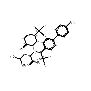 Cc1ccc(-c2ccc([C@H](N([C@@H](CC(C)C)C(N)=O)[C@H]3CC(C(F)(F)F)NCC3=O)C(F)(F)F)cc2)cc1